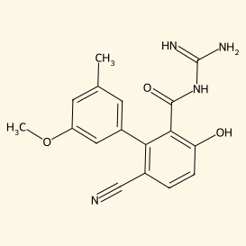 COc1cc(C)cc(-c2c(C#N)ccc(O)c2C(=O)NC(=N)N)c1